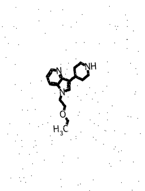 CCOCCn1cc(C2CCNCC2)c2ncccc21